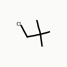 [CH2]C(C)(C)CCl